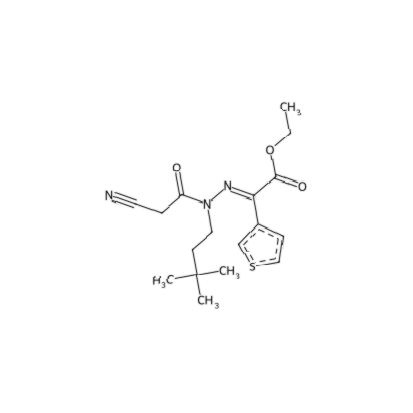 CCOC(=O)/C(=N/N(CCC(C)(C)C)C(=O)CC#N)c1ccsc1